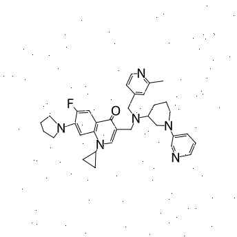 Cc1cc(CN(Cc2cn(C3CC3)c3cc(N4CCCC4)c(F)cc3c2=O)C2CCCN(c3cccnc3)C2)ccn1